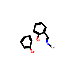 Oc1ccccc1.Oc1ccccc1C=[N][Co]